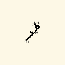 NC(=O)c1cccc(CCNC(=O)[CH]CCCCCS)c1